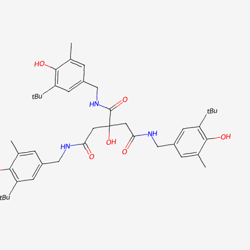 Cc1cc(CNC(=O)CC(O)(CC(=O)NCc2cc(C)c(O)c(C(C)(C)C)c2)C(=O)NCc2cc(C)c(O)c(C(C)(C)C)c2)cc(C(C)(C)C)c1O